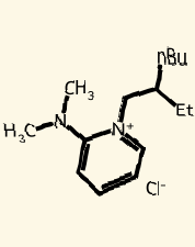 CCCCC(CC)C[n+]1ccccc1N(C)C.[Cl-]